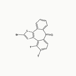 O=c1c2ccccc2c2sc(Br)cc2c2c(F)c(F)ccc12